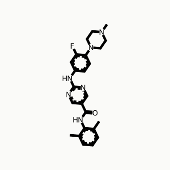 Cc1cccc(C)c1NC(=O)c1cnc(Nc2ccc(N3CCN(C)CC3)c(F)c2)nc1